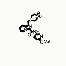 COc1ccc(NC(=O)c2nc(CN3CCS(=O)(=O)CC3)c3ccccn23)cn1